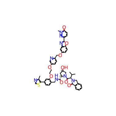 Cc1ncsc1-c1ccc(CNC(=O)[C@@H]2C[C@@H](O)CN2C(=O)C(C(C)C)N2Cc3ccccc3C2=O)c(OCCOc2ccc(COc3ccc4oc(-c5ccc(=O)n(C)n5)nc4c3)nc2)c1